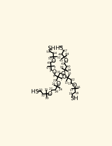 CC(C)(COCC(COC(C)(C)CCOC(C)(C)CCS)(COC(C)(C)CCOC(C)(C)CCS)COC(C)(C)CCOC(C)(C)CCS)COC(C)(C)CCS